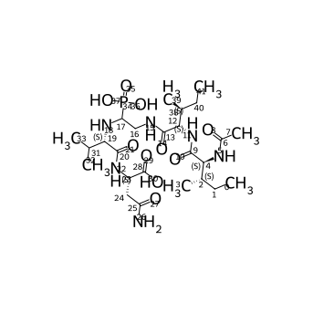 CC[C@H](C)[C@H](NC(C)=O)C(=O)N[C@H](C(=O)NCC(N[C@H](C(=O)N[C@@H](CC(N)=O)C(=O)O)C(C)C)P(=O)(O)O)[C@@H](C)CC